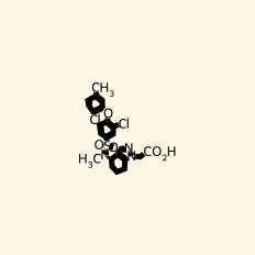 Cc1ccc(Cl)c(Oc2ccc(S(=O)(=O)N(C)[C@@H]3CCCc4c3cnn4CC(=O)O)cc2Cl)c1